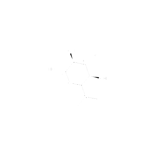 CN(C)C1O[C@H](O)[C@@H](O)[C@H](O)[C@H]1O